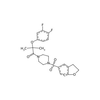 CC(C)(Oc1ccc(F)c(F)c1)C(=O)N1CCN(S(=O)(=O)c2ccc3c(c2)CCO3)CC1